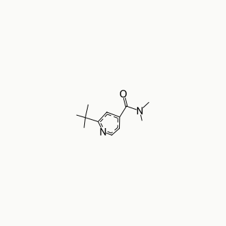 CN(C)C(=O)c1ccnc(C(C)(C)C)c1